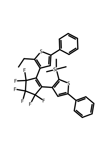 CCc1sc(-c2ccccc2)cc1C1=C(c2cc(-c3ccccc3)sc2[Si](C)(C)C)C(F)(F)C(F)(F)C1(F)F